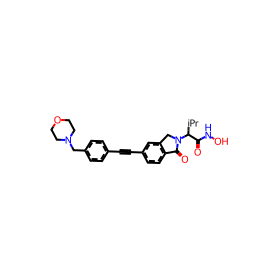 CC(C)C(C(=O)NO)N1Cc2cc(C#Cc3ccc(CN4CCOCC4)cc3)ccc2C1=O